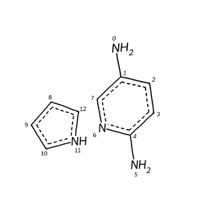 Nc1ccc(N)nc1.c1cc[nH]c1